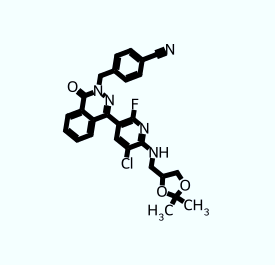 CC1(C)OCC(CNc2nc(F)c(-c3nn(Cc4ccc(C#N)cc4)c(=O)c4ccccc34)cc2Cl)O1